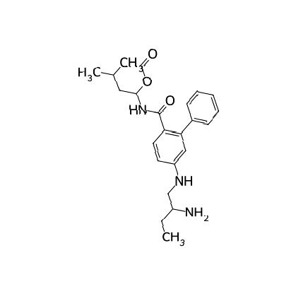 CCC(N)CNc1ccc(C(=O)NC(CC(C)C)OC=O)c(-c2ccccc2)c1